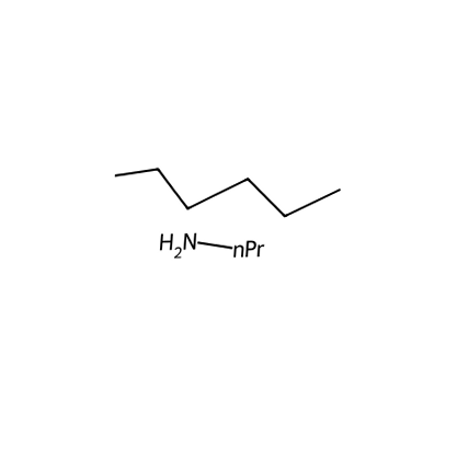 CCCCCC.CCCN